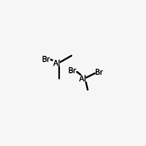 [CH3][Al]([Br])[Br].[CH3][Al]([CH3])[Br]